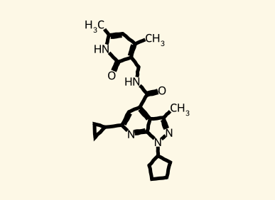 Cc1cc(C)c(CNC(=O)c2cc(C3CC3)nc3c2c(C)nn3C2CCCC2)c(=O)[nH]1